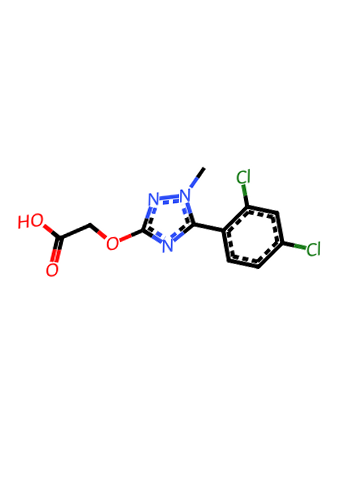 Cn1nc(OCC(=O)O)nc1-c1ccc(Cl)cc1Cl